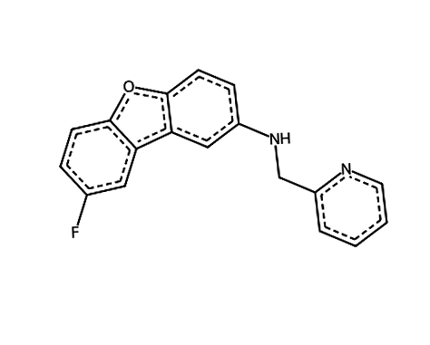 Fc1ccc2oc3ccc(NCc4ccccn4)cc3c2c1